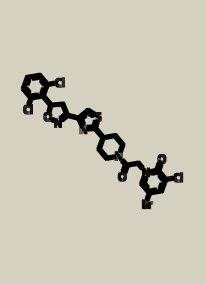 O=C(Cn1cc(Br)cc(Cl)c1=O)N1CCC(c2nc(C3=NOC(c4c(Cl)cccc4Cl)C3)cs2)CC1